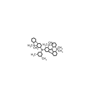 Cc1cc(C)cc(N(c2ccc3c(c2)C(C)(C)c2ccccc2-3)c2cc3c4c(c2)c2cccc5c2n4-c2c(cccc2C3(C)C)C5(C)C)c1